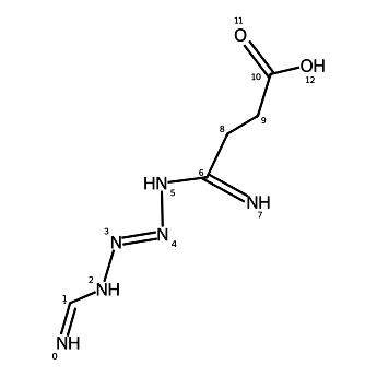 N=[C]NN=NNC(=N)CCC(=O)O